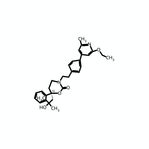 CCOc1cc(-c2ccc(CCN3CC[C@](CC(C)(C)O)(c4ccccc4)OC3=O)cc2)cc(C)n1